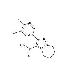 NC(=O)c1c(-c2cnc(F)c(Cl)c2)nn2c1CCCC2